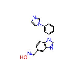 ON=Cc1ccc2c(c1)ncn2-c1cccc(-n2ccnc2)c1